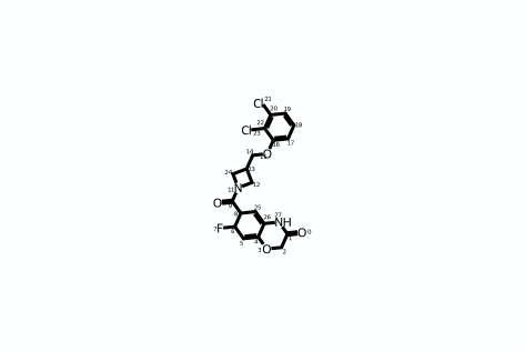 O=C1COC2=CC(F)C(C(=O)N3CC(COc4cccc(Cl)c4Cl)C3)C=C2N1